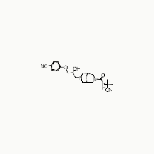 CC(C)(C#N)NC(=O)N1CC2CC(CN(CC(O)COc3ccc(C#N)cc3)C2)C1